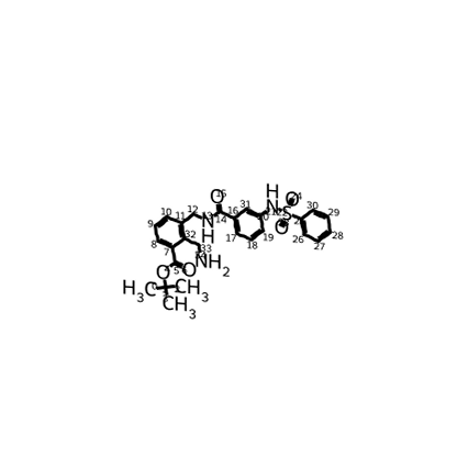 CC(C)(C)OC(=O)c1cccc(CNC(=O)c2cccc(NS(=O)(=O)c3ccccc3)c2)c1CN